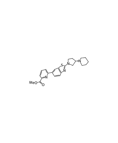 COC(=O)c1cccc(-c2ccc3nc(N4CC[C@@H](N5CCCCC5)C4)sc3c2)n1